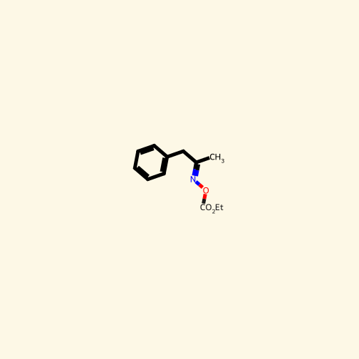 CCOC(=O)ON=C(C)Cc1ccccc1